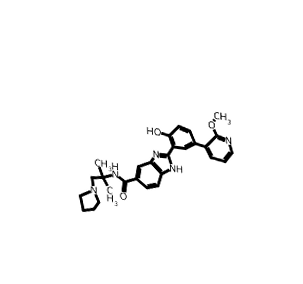 COc1ncccc1-c1ccc(O)c(-c2nc3cc(C(=O)NC(C)(C)CN4CCCC4)ccc3[nH]2)c1